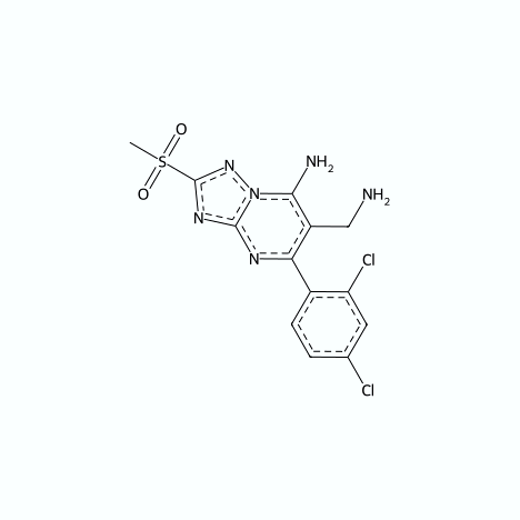 CS(=O)(=O)c1nc2nc(-c3ccc(Cl)cc3Cl)c(CN)c(N)n2n1